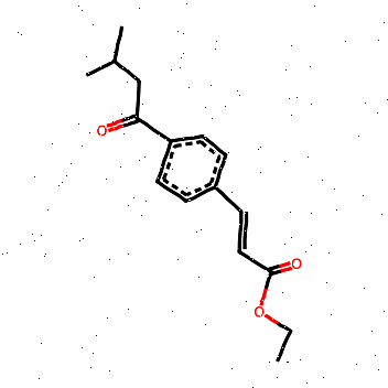 CCOC(=O)/C=C/c1ccc(C(=O)CC(C)C)cc1